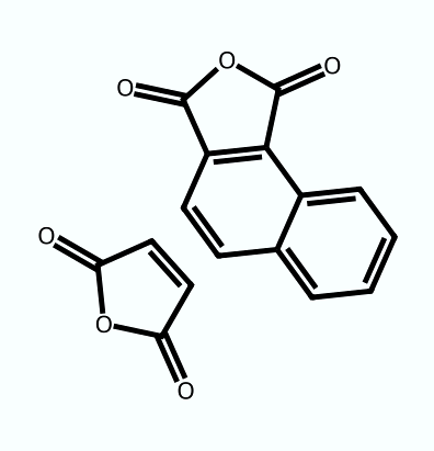 O=C1C=CC(=O)O1.O=C1OC(=O)c2c1ccc1ccccc21